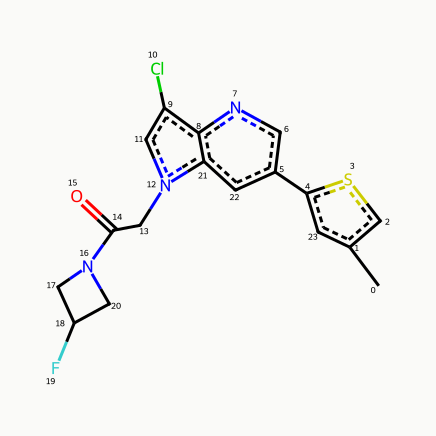 Cc1csc(-c2cnc3c(Cl)cn(CC(=O)N4CC(F)C4)c3c2)c1